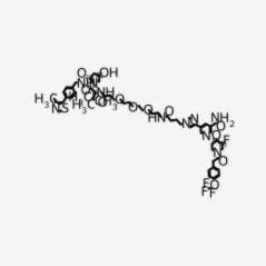 Cc1ncsc1-c1ccc(CNC(=O)[C@@H]2C[C@@H](O)CN2C(=O)[C@@H](NC(=O)CCOCCOCCOCCNC(=O)CCCn2cnc(-c3cnc(O[C@@H]4CCN(C(=O)Cc5ccc(OC(F)(F)F)cc5)C[C@H]4F)c(C(N)=O)c3)c2)C(C)(C)C)cc1